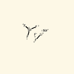 [F-].[F][Sb]([F])[F].[Li][F].[Na+]